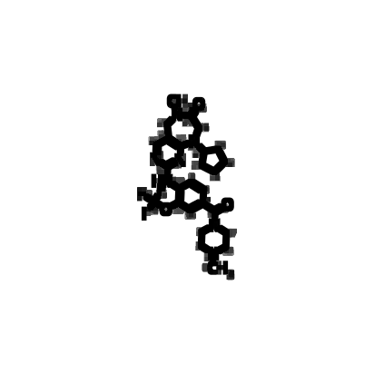 CN1CCN(C(=O)c2ccc(Nc3ncc4c(n3)N(C3CCCC3)CC(=O)N(C)C4)c(OC(F)(F)F)c2)CC1